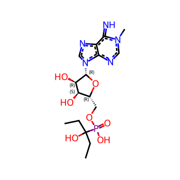 CCC(O)(CC)P(=O)(O)OC[C@H]1O[C@@H](n2cnc3c(=N)n(C)cnc32)[C@H](O)[C@@H]1O